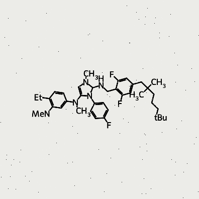 CCc1ccc(N(C)C2=CN(C)C(NCc3c(F)cc(CC(C)(C)CCCC(C)(C)C)cc3F)N2c2ccc(F)cc2)cc1NC